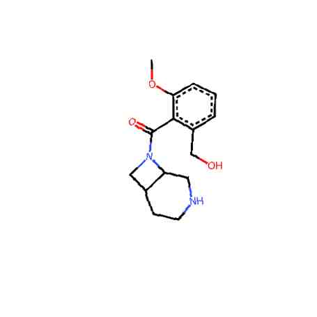 COc1cccc(CO)c1C(=O)N1CC2CCNCC21